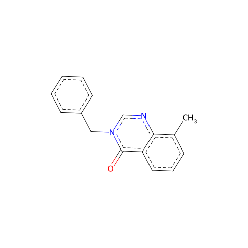 Cc1cccc2c(=O)n(Cc3ccccc3)cnc12